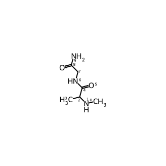 CNC(C)C(=O)NCC(N)=O